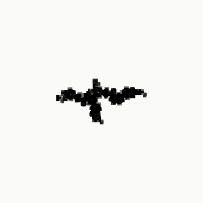 C[C@@H]1CN(C2CN(C(=O)c3cnc4ccc(-c5ccc6oc(N)nc6c5)cn34)C2)CC(c2cc(-c3ccc4oc(N)nc4c3)cn3c(C(=O)N4CC(N5CCN[C@@H](C)C5)C4)cnc23)N1